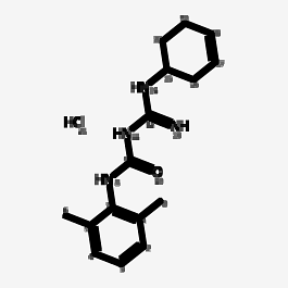 Cc1cccc(C)c1NC(=O)NC(=N)NC1CC=CCC1.Cl